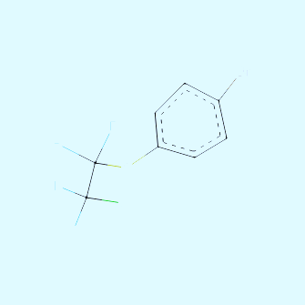 FC(F)(Cl)C(F)(F)Sc1ccc(Br)cc1